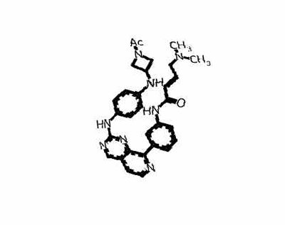 CC(=O)N1CC(Nc2ccc(Nc3ncc4ccnc(-c5cccc(NC(=O)C=CCN(C)C)c5)c4n3)cc2)C1